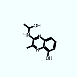 Cc1nc2c(O)cccc2nc1NC(C)O